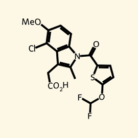 COc1ccc2c(c1Cl)c(CC(=O)O)c(C)n2C(=O)c1ccc(OC(F)F)s1